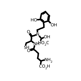 NC(CCC(=O)NC(CS)C(=O)N(CCc1c(O)cccc1O)C(O)C(=O)O)C(=O)O